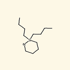 CCCC[Si]1(CCCC)CCCC[N]1